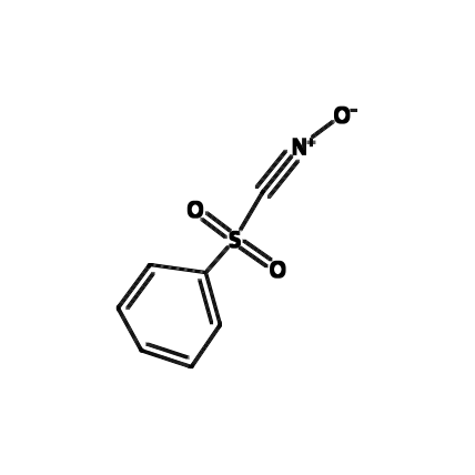 O=S(=O)(C#[N+][O-])c1ccccc1